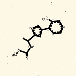 CC(NC(=O)OC(C)(C)C)c1cc(-c2ccccc2C=O)cs1